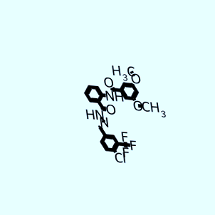 COc1cc(OC)cc(C(=O)Nc2ccccc2C(=O)N/N=C/c2ccc(Cl)c(C(F)(F)F)c2)c1